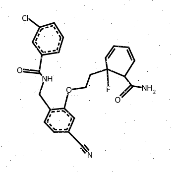 N#Cc1ccc(CNC(=O)c2cccc(Cl)c2)c(OCCC2(F)C=CC=CC2C(N)=O)c1